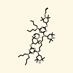 C=CCON1C(C)(C)CC(Oc2nc(N(CCCC)CCCC)nc(N(CCCCCCN(c3nc(OC4CC(C)(C)N(OCC=C)C(C)(C)C4)nc(N(CCCC)CCCC)n3)C3CC(C)(C)NC(C)(C)C3)C3CC(C)(C)NC(C)(C)C3)n2)CC1(C)C